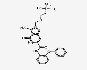 Cc1c2c(=O)[nH]c(C(=O)Nc3ccccc3Oc3ccccc3)cc2cn1COCC[Si](C)(C)C